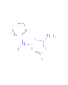 CCN(c1ccccc1)c1cc(I)nc(N)n1